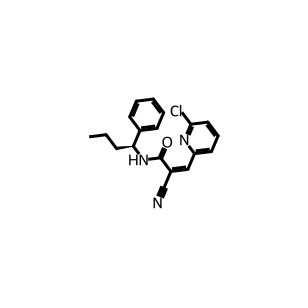 CCC[C@H](NC(=O)C(C#N)=Cc1cccc(Cl)n1)c1ccccc1